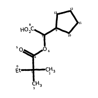 CCC(C)(C)C(=O)OC(C(=O)O)C1CCCC1